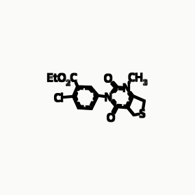 CCOC(=O)c1cc(-n2c(=O)c3c(n(C)c2=O)CSC3)ccc1Cl